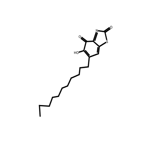 CCCCCCCCCCCC1=C(O)C(=O)C2=NC(=O)SC2=C1